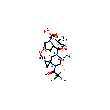 CO[C@H]1CN(C(=O)O)[C@](C(=O)N2CC3(CC3)N(C(=O)C(F)(F)F)C[C@@H]2C)(C(C)(C)C)C1